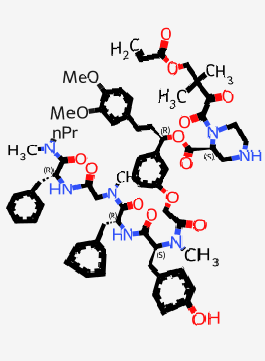 C=CC(=O)OCC(C)(C)C(=O)C(=O)N1CCNC[C@H]1C(=O)O[C@H](CCc1ccc(OC)c(OC)c1)c1cccc(OCC(=O)N(C)[C@@H](Cc2ccc(O)cc2)C(=O)N[C@H](Cc2ccccc2)C(=O)N(C)CC(=O)N[C@H](Cc2ccccc2)C(=O)N(C)CCC)c1